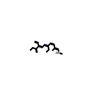 C=C\C(=C/C=C(/C=C\C(C)=C\NC)CC)C(=C)CC